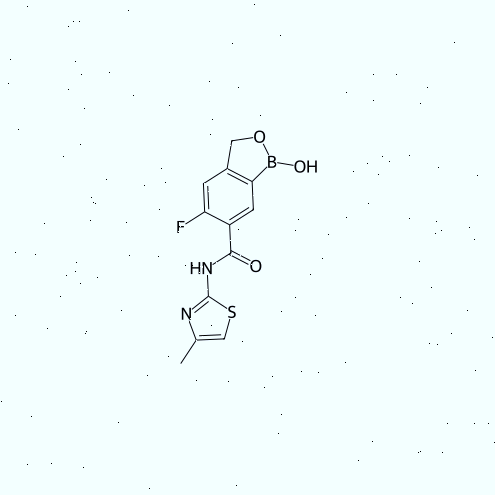 Cc1csc(NC(=O)c2cc3c(cc2F)COB3O)n1